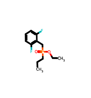 CCCP(=O)(Cc1c(F)cccc1F)OCC